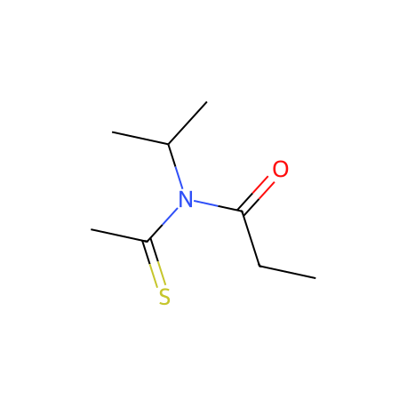 CCC(=O)N(C(C)=S)C(C)C